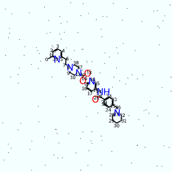 Cc1cccc(CCN2CCN(C(=O)Oc3ccc(NC(=O)c4ccc(CN5CCCCC5)cc4)cn3)CC2)n1